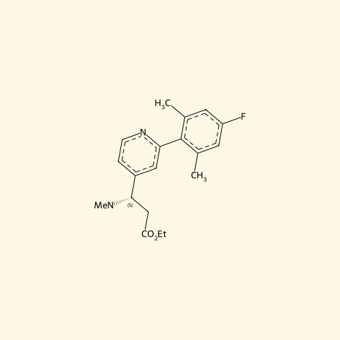 CCOC(=O)C[C@H](NC)c1ccnc(-c2c(C)cc(F)cc2C)c1